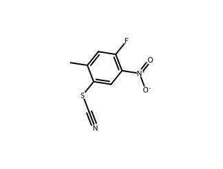 Cc1cc(F)c([N+](=O)[O-])cc1SC#N